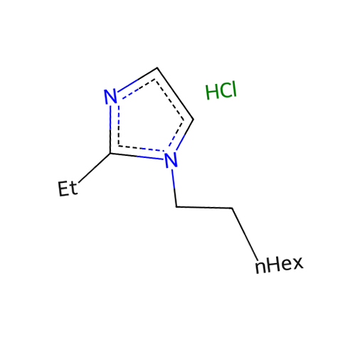 CCCCCCCCn1ccnc1CC.Cl